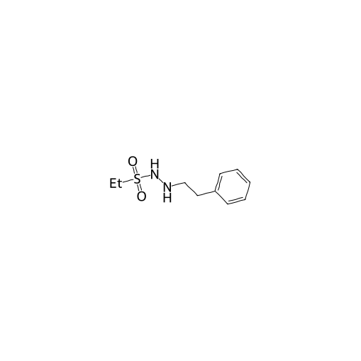 CCS(=O)(=O)NNCCc1ccccc1